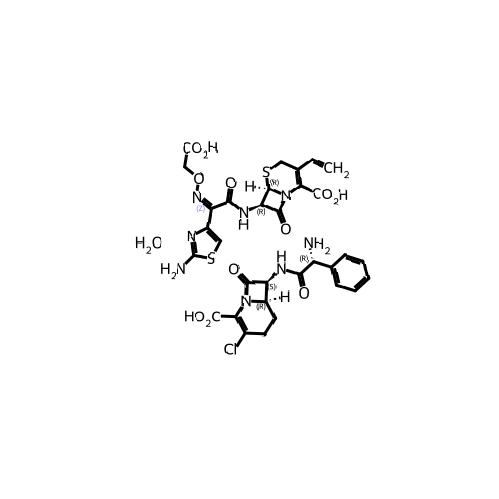 C=CC1=C(C(=O)O)N2C(=O)[C@@H](NC(=O)/C(=N\OCC(=O)O)c3csc(N)n3)[C@H]2SC1.N[C@@H](C(=O)N[C@@H]1C(=O)N2C(C(=O)O)=C(Cl)CC[C@H]12)c1ccccc1.O